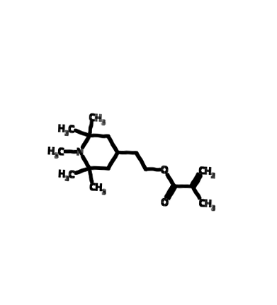 C=C(C)C(=O)OCCC1CC(C)(C)N(C)C(C)(C)C1